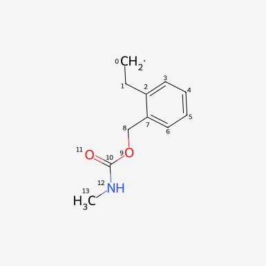 [CH2]Cc1ccccc1COC(=O)NC